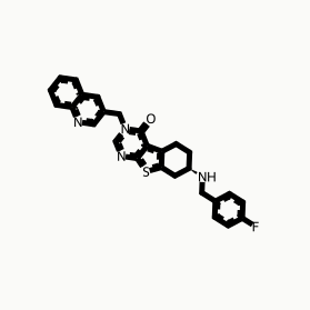 O=c1c2c3c(sc2ncn1Cc1cnc2ccccc2c1)C[C@@H](NCc1ccc(F)cc1)CC3